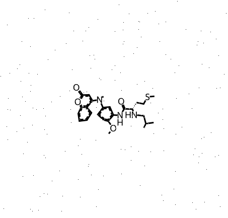 COc1ccc(N(C)c2cc(=O)oc3ccccc23)cc1NC(=O)[C@H](CCSC)NCC(C)C